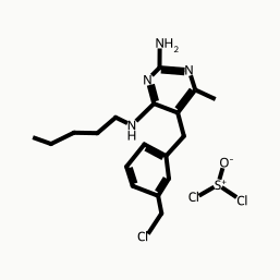 CCCCCNc1nc(N)nc(C)c1Cc1cccc(CCl)c1.[O-][S+](Cl)Cl